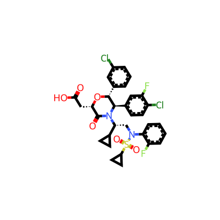 O=C(O)C[C@@H]1O[C@H](c2cccc(Cl)c2)[C@@H](c2ccc(Cl)c(F)c2)N([C@H](CN(c2ccccc2F)S(=O)(=O)C2CC2)C2CC2)C1=O